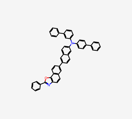 c1ccc(-c2ccc(N(c3cccc(-c4ccccc4)c3)c3ccc4cc(-c5ccc6c(ccc7nc(-c8ccccc8)oc76)c5)ccc4c3)cc2)cc1